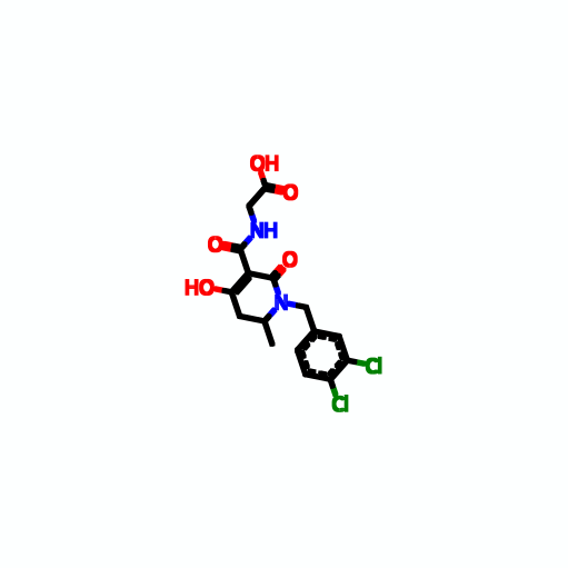 CC1CC(O)=C(C(=O)NCC(=O)O)C(=O)N1Cc1ccc(Cl)c(Cl)c1